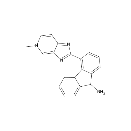 Cn1ccc2nc(-c3cccc4c3-c3ccccc3C4N)nc-2c1